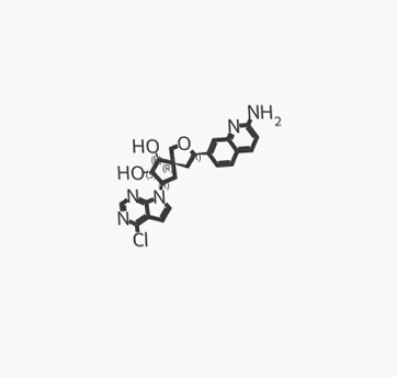 Nc1ccc2ccc([C@H]3C[C@@]4(CO3)C[C@@H](n3ccc5c(Cl)ncnc53)[C@H](O)[C@@H]4O)cc2n1